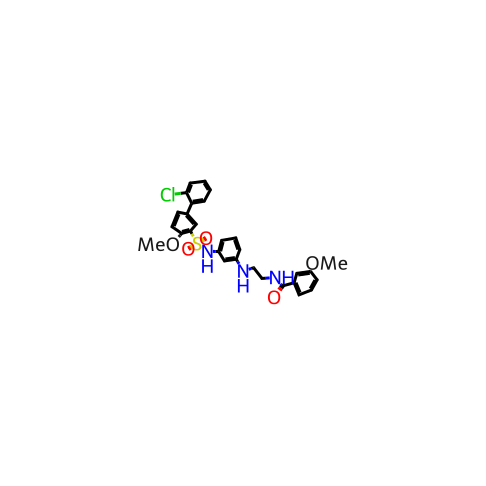 COc1cccc(C(=O)NCCNc2cccc(NS(=O)(=O)c3cc(-c4ccccc4Cl)ccc3OC)c2)c1